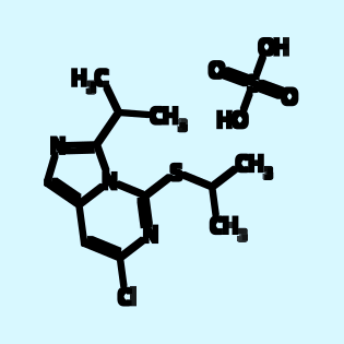 CC(C)Sc1nc(Cl)cc2cnc(C(C)C)n12.O=S(=O)(O)O